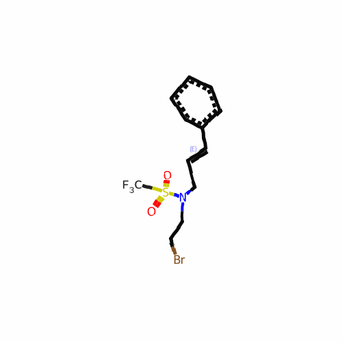 O=S(=O)(N(C/C=C/c1ccccc1)CCBr)C(F)(F)F